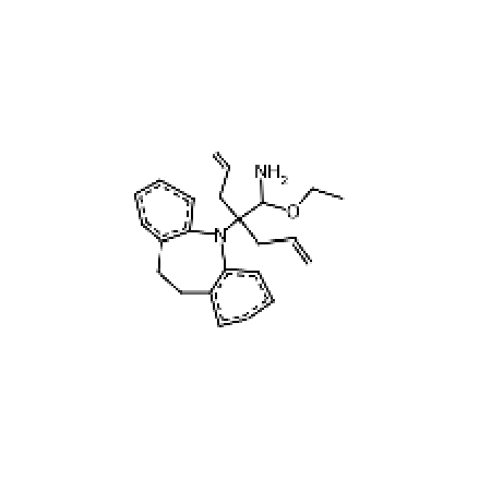 C=CCC(CC=C)(C(N)OCC)N1c2ccccc2CCc2ccccc21